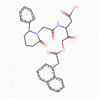 O=C(O)CC(NC(=O)CN1C(=O)CCCC1c1ccccc1)C(=O)COC(=O)Cc1cccc2ccccc12